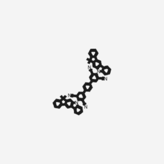 CC1(C)c2ccccc2-c2cc3c4ccccc4n(C4=C(C#N)C=C(c5ccc(-c6cc(C#N)c(-n7c8ccccc8c8cc9c(cc87)C(C)(C)c7ccccc7-9)c(C#N)c6)cc5)CC4C#N)c3cc21